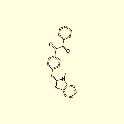 CN1C(=Cc2ccc(C(=O)C(=O)c3ccccc3)cc2)Sc2ccccc21